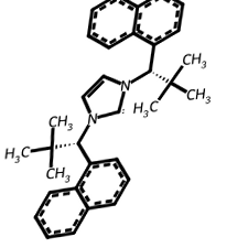 CC(C)(C)[C@@H](c1cccc2ccccc12)N1[C]N([C@H](c2cccc3ccccc23)C(C)(C)C)C=C1